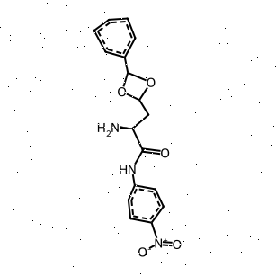 N[C@@H](CC1OC(c2ccccc2)O1)C(=O)Nc1ccc([N+](=O)[O-])cc1